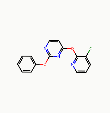 Clc1cccnc1Oc1ccnc(Oc2ccccc2)n1